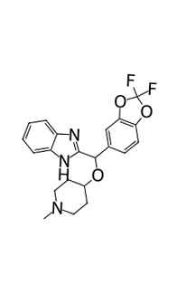 CN1CCC(OC(c2ccc3c(c2)OC(F)(F)O3)c2nc3ccccc3[nH]2)CC1